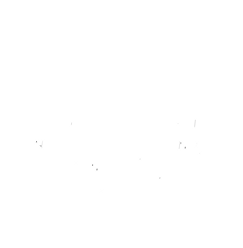 Cc1c(C)n(CC2CC2)c2c(OCc3ccc(F)cc3)nccc12.O=[N+]([O-])O